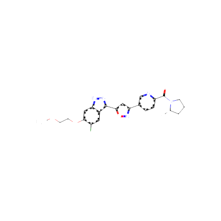 COCCOc1cc2[nH]nc(-c3cc(-c4ccc(C(=O)N5CCC[C@H]5C)nc4)no3)c2cc1F